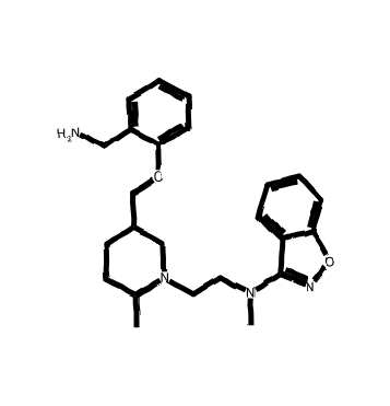 CC1CCC(COc2ccccc2CN)CN1CCN(C)c1noc2ccccc12